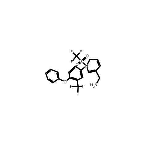 NCC1=C[N+](c2ccc(Oc3ccccc3)c(C(F)(F)F)c2)(S(=O)(=O)C(F)(F)F)CC=C1